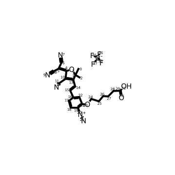 CC1(C)OC(=C(C#N)C#N)C(C#N)=C1C=Cc1ccc([N+]#N)c(OCCCCCC(=O)O)c1.F[B-](F)(F)F